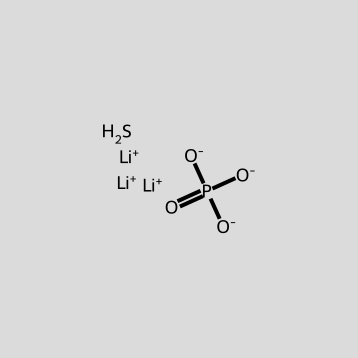 O=P([O-])([O-])[O-].S.[Li+].[Li+].[Li+]